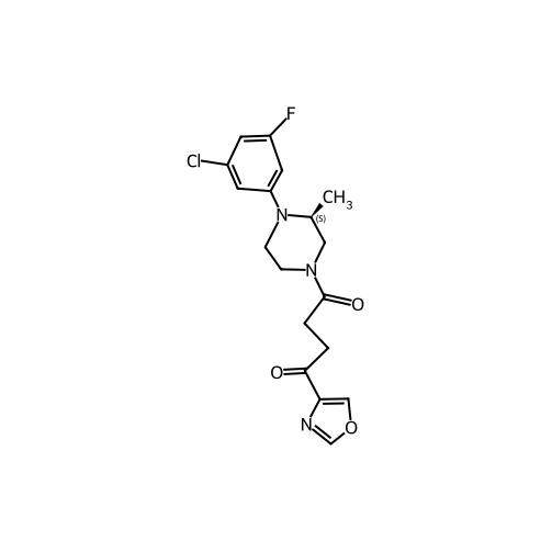 C[C@H]1CN(C(=O)CCC(=O)c2cocn2)CCN1c1cc(F)cc(Cl)c1